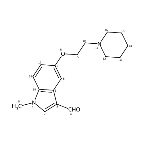 Cn1cc(C=O)c2cc(OCCN3CCCCC3)ccc21